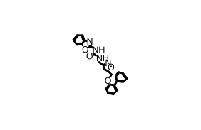 O=C(NCC1=NOC(COc2ccccc2-c2ccccc2)C1)Nc1nc2ccccc2o1